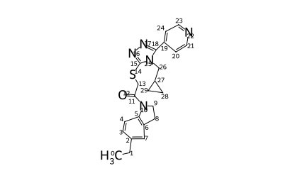 CCc1ccc2c(c1)CCN2C(=O)CSc1nnc(-c2ccncc2)n1CC1CC1